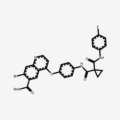 CNC(=O)c1cc2c(Oc3ccc(NC(=O)C4(C(=O)Nc5ccc(F)cc5)CC4)cc3)ccnc2cc1Br